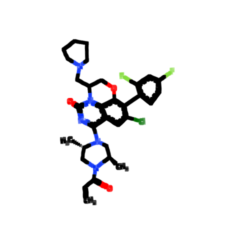 C=CC(=O)N1C[C@H](C)N(c2nc(=O)n3c4c(c(-c5ccc(F)cc5F)c(Cl)cc24)OCC3CN2CCCCC2)C[C@H]1C